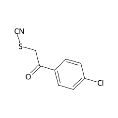 N#CSCC(=O)c1ccc(Cl)cc1